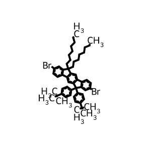 CCCCCCCCC1(CCCCCCCC)c2cc(Br)ccc2-c2cc3c(cc21)-c1ccc(Br)cc1C3(c1ccc(C(C)(C)C)cc1)c1ccc(C(C)(C)C)cc1